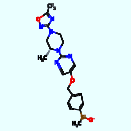 C[C@@H]1CN(c2noc(C(F)(F)F)n2)CCN1c1ncc(OCc2ccc([S+](C)[O-])cc2)cn1